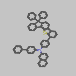 c1ccc(-c2ccc(N(c3ccc(-c4cccc5c4sc4c6c(ccc45)C(c4ccccc4)(c4ccccc4)c4ccccc4-6)cc3)c3ccc4ccccc4c3)cc2)cc1